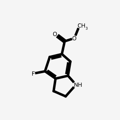 COC(=O)c1cc(F)c2c(c1)NCC2